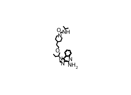 CCC(COCCC1CCN(C(=O)NC(C)C)CC1)n1cnc2c(N)nc3ccccc3c21